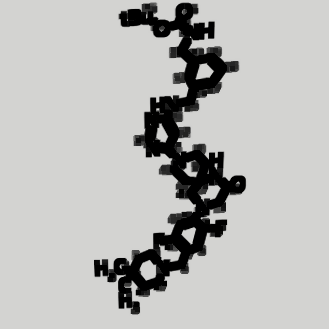 CC1(C)CCN(Cc2cc(F)c(N3CC(=O)NC4(CCN(c5cc(NCc6cccc(CNC(=O)OC(C)(C)C)c6)ncn5)CC4)C3)cc2F)CC1